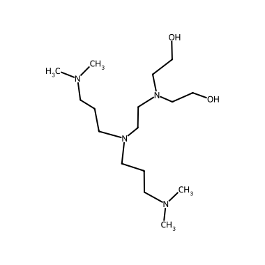 CN(C)CCCN(CCCN(C)C)CCN(CCO)CCO